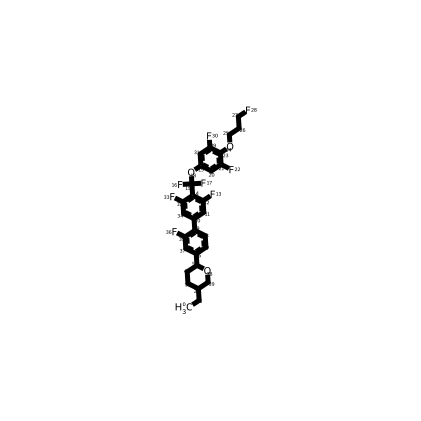 CCC1CCC(c2ccc(-c3cc(F)c(C(F)(F)Oc4cc(F)c(OCCCF)c(F)c4)c(F)c3)c(F)c2)OC1